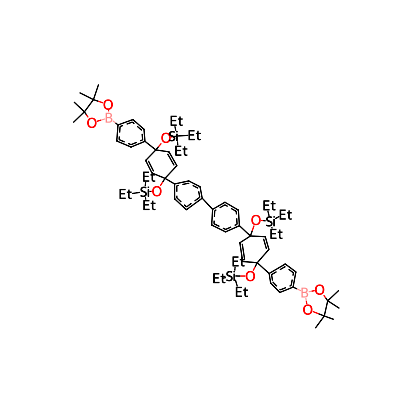 CC[Si](CC)(CC)OC1(c2ccc(B3OC(C)(C)C(C)(C)O3)cc2)C=CC(O[Si](CC)(CC)CC)(c2ccc(-c3ccc(C4(O[Si](CC)(CC)CC)C=CC(O[Si](CC)(CC)CC)(c5ccc(B6OC(C)(C)C(C)(C)O6)cc5)C=C4)cc3)cc2)C=C1